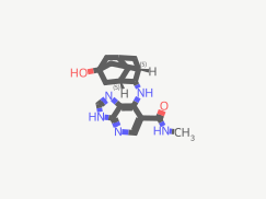 CNC(=O)c1cnc2[nH]cnc2c1NC1[C@H]2CC3C[C@H]1CC(O)(C3)C2